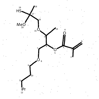 C=C(C)C(=O)OC(COCCCC(C)C)C(C)OCC(C)(S)OC